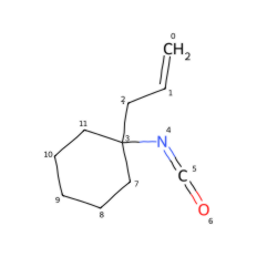 C=C[CH]C1(N=C=O)CCCCC1